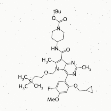 COc1cc(OCC2CC2)c(-c2nc(C)nc3c(C(=O)NC4CCN(C(=O)OC(C)(C)C)CC4)c(C)n(COCC[Si](C)(C)C)c23)cc1F